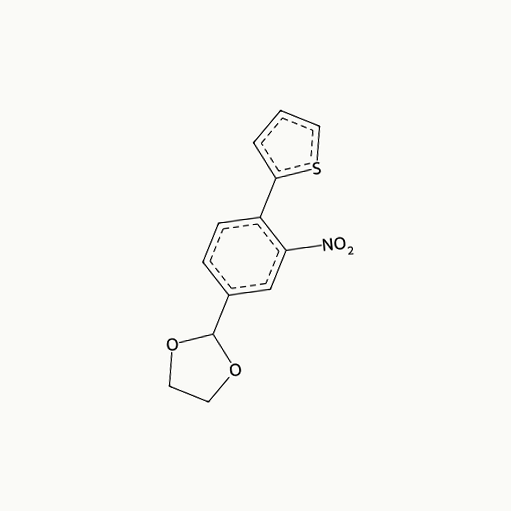 O=[N+]([O-])c1cc(C2OCCO2)ccc1-c1cccs1